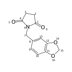 O=C1CCC(=O)N1Cc1ccc2c(c1)OCO2